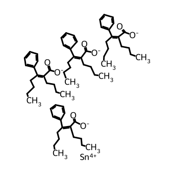 CCCCC(C(=O)[O-])=C(CCCC)c1ccccc1.CCCCC(C(=O)[O-])=C(CCCC)c1ccccc1.CCCCC(C(=O)[O-])=C(CCCC)c1ccccc1.CCCCC(C(=O)[O-])=C(CCCC)c1ccccc1.[Sn+4]